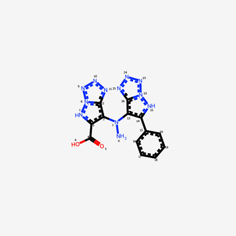 NN(c1c(C(=O)O)[nH]n2nnnc12)c1c(-c2ccccc2)[nH]n2nnnc12